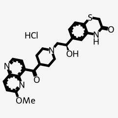 COc1ccc2nccc(C(=O)C3CCN(C[C@H](O)c4ccc5c(c4)NC(=O)CS5)CC3)c2n1.Cl